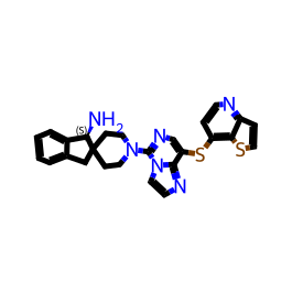 N[C@@H]1c2ccccc2CC12CCN(c1ncc(Sc3ccnc4ccsc34)c3nccn13)CC2